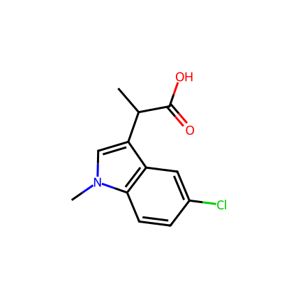 CC(C(=O)O)c1cn(C)c2ccc(Cl)cc12